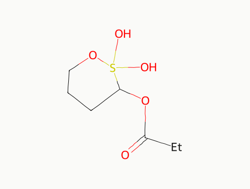 CCC(=O)OC1CCCOS1(O)O